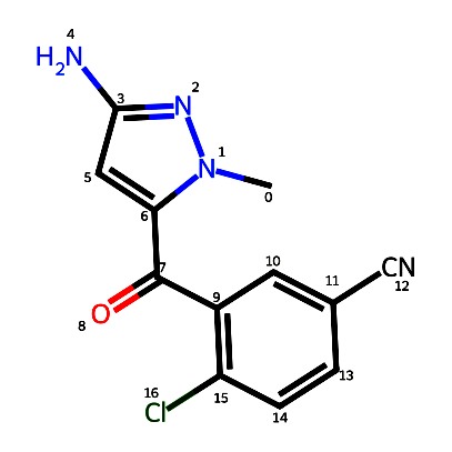 Cn1nc(N)cc1C(=O)c1cc(C#N)ccc1Cl